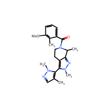 COc1cccc(C(=O)N2CCc3c(nn(C)c3-c3c(C)cnn3C)C2C)c1C